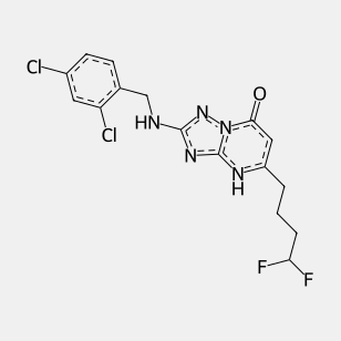 O=c1cc(CCCC(F)F)[nH]c2nc(NCc3ccc(Cl)cc3Cl)nn12